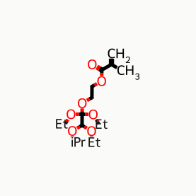 C=C(C)C(=O)OCCOC(OCC)(OCC)C(OCC)OC(C)C